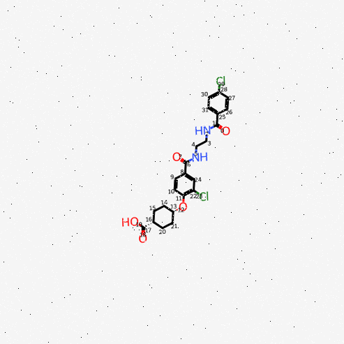 O=C(NCCNC(=O)c1ccc(O[C@H]2CC[C@@H](C(=O)O)CC2)c(Cl)c1)c1ccc(Cl)cc1